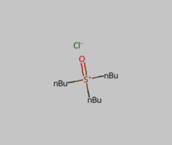 CCCC[S+](=O)(CCCC)CCCC.[Cl-]